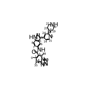 CC1=C(C(=O)Nc2ccc3[nH]nc(-c4ccnc(N5CCNCC5)c4)c3c2)[C@@H](C)n2nnnc2N1C